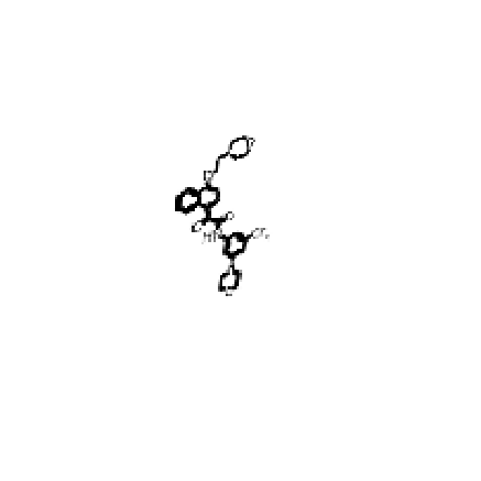 O=C(Nc1cc(N2CCOCC2)cc(C(F)(F)F)c1)C(=O)c1ccc(OCCN2CCOCC2)c2ccccc12